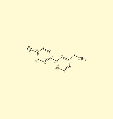 NCc1ccnc(-c2ccc(C(F)(F)F)cc2)c1